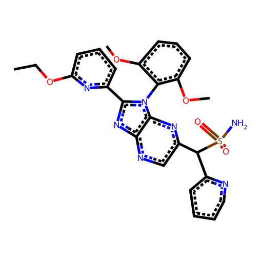 CCOc1cccc(-c2nc3ncc(C(c4ccccn4)S(N)(=O)=O)nc3n2-c2c(OC)cccc2OC)n1